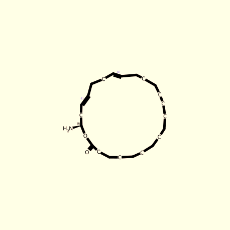 N[C@H]1C/C=C/CC/C=C/CCCCCCCCCCCCCCC(=O)O1